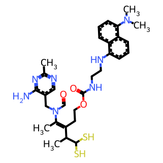 CC(=C(CCOC(=O)NCCNc1cccc2c(N(C)C)cccc12)C(C)C(S)S)N(C=O)Cc1cnc(C)nc1N